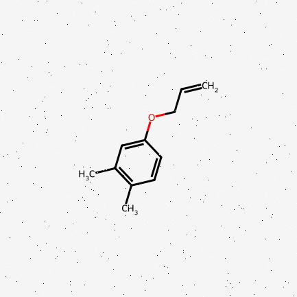 C=CCOc1ccc(C)c(C)c1